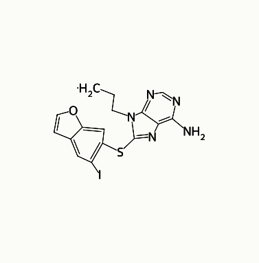 [CH2]CCn1c(Sc2cc3occc3cc2I)nc2c(N)ncnc21